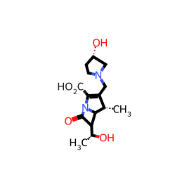 C[C@@H](O)C1C(=O)N2C(C(=O)O)=C(CN3CC[C@H](O)C3)[C@H](C)C12